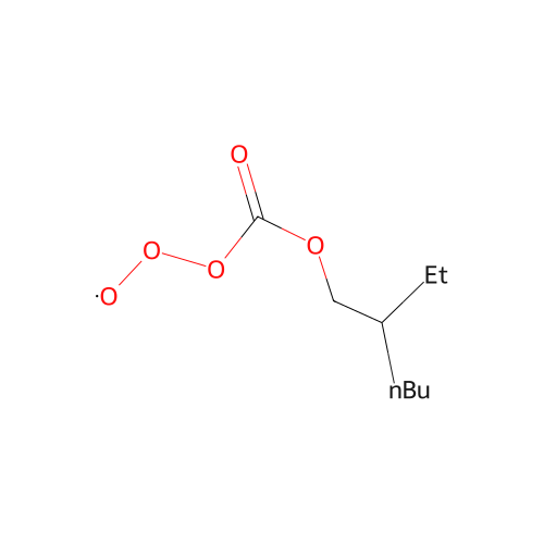 CCCCC(CC)COC(=O)OO[O]